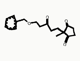 CC1(CCC(=O)CCOCc2ccccc2)C(=O)CCC1=O